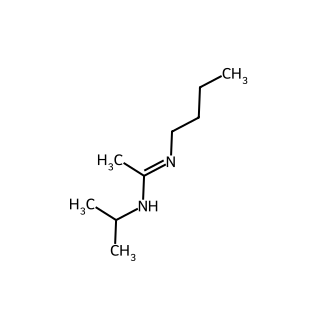 CCCC/N=C(\C)NC(C)C